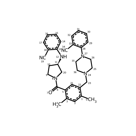 Cc1cc(C)c(C(=O)N2CC[C@@H](Nc3ccccc3C#N)C2)cc1CN1CCN(c2ccccc2C#N)CC1